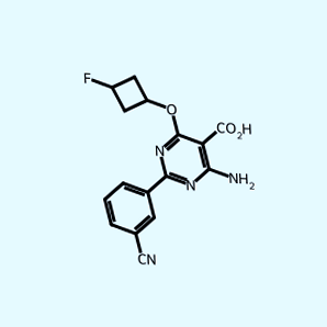 N#Cc1cccc(-c2nc(N)c(C(=O)O)c(OC3CC(F)C3)n2)c1